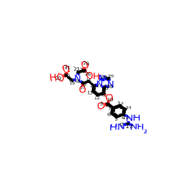 N=C(N)Nc1ccc(C(=O)Oc2ccc(CC(=O)N(CC(=O)O)CC(=O)O)n3ncnc23)cc1